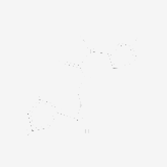 Cc1cccc(N(C)C(=S)SSC(=S)N(C)c2cccc(C)c2)c1